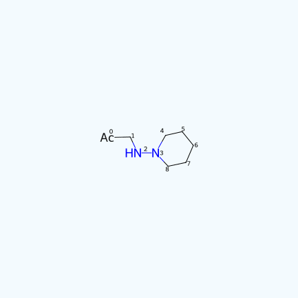 CC(=O)CNN1CCCCC1